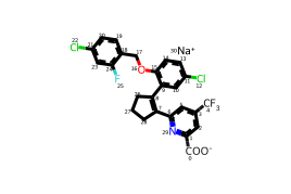 O=C([O-])c1cc(C(F)(F)F)cc(C2=C(c3cc(Cl)ccc3OCc3ccc(Cl)cc3F)CCC2)n1.[Na+]